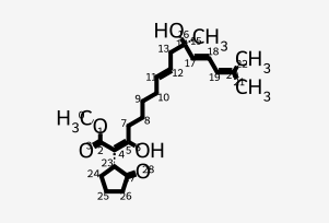 COC(=O)C(=C(O)CCCC/C=C/C[C@@](C)(O)/C=C/C=C(C)C)[C@H]1CCCC1=O